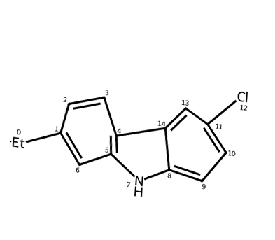 C[CH]c1ccc2c(c1)[nH]c1ccc(Cl)cc12